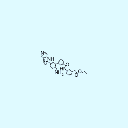 CCCOC(=O)Cc1cccc(NC(=O)c2cccc(-c3cc(C(=O)Nc4ccncc4F)ccc3CN)c2)c1